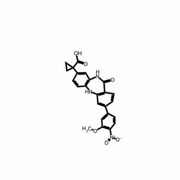 COc1cc(-c2ccc3c(c2)Nc2ccc(C4(C(=O)O)CC4)cc2NC3=O)ccc1[N+](=O)[O-]